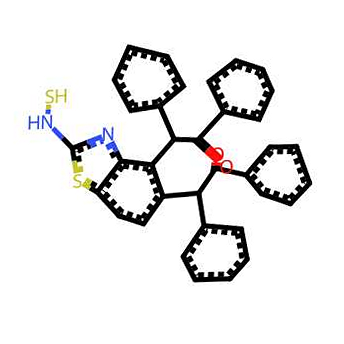 O=C(c1ccccc1)C(c1ccccc1)c1ccc2sc(NS)nc2c1C(C(=O)c1ccccc1)c1ccccc1